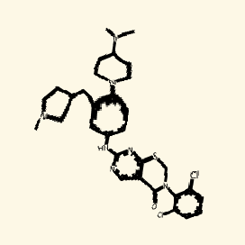 CN1CCC(Cc2cc(Nc3ncc4c(n3)SCN(c3c(Cl)cccc3Cl)C4=O)ccc2N2CCC(N(C)C)CC2)C1